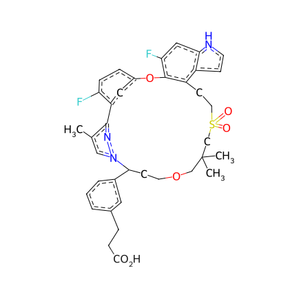 Cc1cn2nc1-c1cc(ccc1F)Oc1c(F)cc3[nH]ccc3c1CCS(=O)(=O)CC(C)(C)COCCC2c1cccc(CCC(=O)O)c1